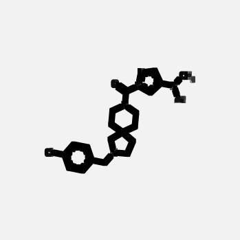 CC(=O)N(C)c1cnn(C(=O)N2CCC3(CCN(Cc4ccc(Cl)cc4)C3)CC2)c1